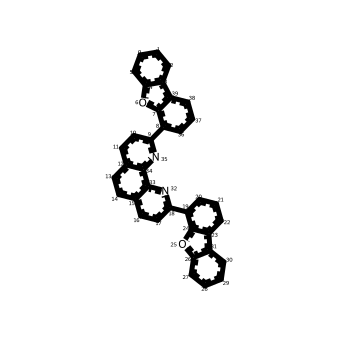 c1ccc2c(c1)oc1c(-c3ccc4ccc5ccc(-c6cccc7c6oc6ccccc67)nc5c4n3)cccc12